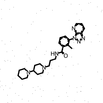 Cc1c(C(=O)NCCCN2CCC(N3CCCCC3)CC2)cccc1-n1nnc2cccnc21